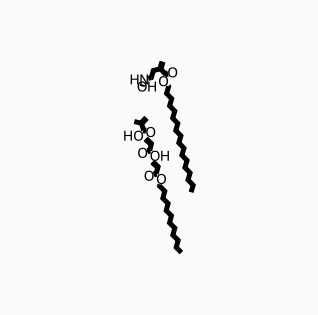 C=C(C)C(=O)O.C=C(CCNO)C(=O)OCCCCCCCCCCCCCCCCCC.C=CC(=O)O.C=CC(=O)OCCCCCCCCCCCC